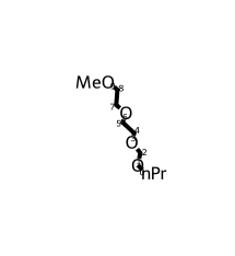 CCCOCOCCOCCOC